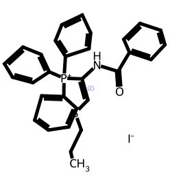 CCCS/C=C(/NC(=O)c1ccccc1)[P+](c1ccccc1)(c1ccccc1)c1ccccc1.[I-]